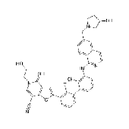 N#Cc1cn(CCO)c(=N)c2cc(-c3cccc(-c4cccc(Nc5nccc6cc(CN7CC[C@@H](O)C7)cnc56)c4Cl)c3Cl)oc12